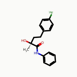 C[C@](O)(CCc1ccc([18F])cc1)C(=O)Nc1ccccc1